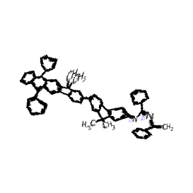 C=C(/N=C(\N=c1/c2cc3c(cc12)C(C)(C)c1cc(-c2ccc4c(c2)C(C)(C)c2cc5c(-c6ccccc6)c6ccccc6c(-c6ccccc6)c5cc2-4)ccc1-3)c1ccccc1)c1ccccc1